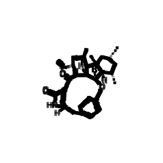 C=C[C@@H]1C=C(C)[C@H]2[C@@H]3[C@H](Oc4ccc(cc4)C[C@H]4C=C(C(=O)N4)C(=O)[C@@H]13)[C@@H]1[C@@H](C)C[C@@H](C)C[C@]12C